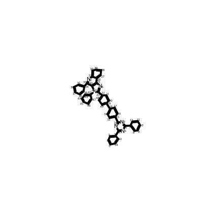 c1ccc(-c2nc(-c3ccccc3)nc(-c3ccc(-c4ccc(-c5nc6c7ccccc7nc(-c7ccccc7)c6n5-c5ccccc5)cc4)cc3)n2)cc1